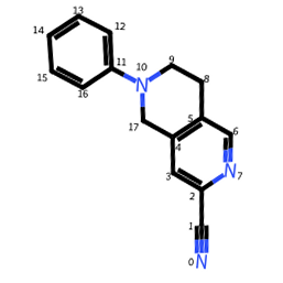 N#Cc1cc2c(cn1)CCN(c1ccccc1)C2